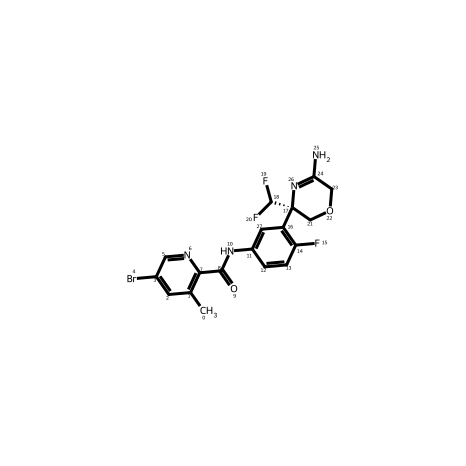 Cc1cc(Br)cnc1C(=O)Nc1ccc(F)c([C@]2(C(F)F)COCC(N)=N2)c1